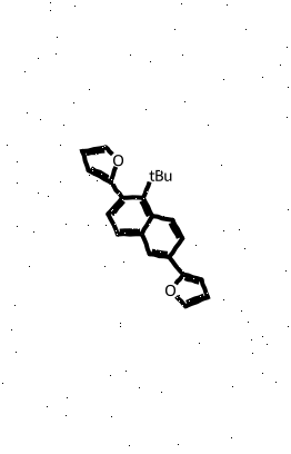 CC(C)(C)c1c(-c2ccco2)ccc2cc(-c3ccco3)ccc12